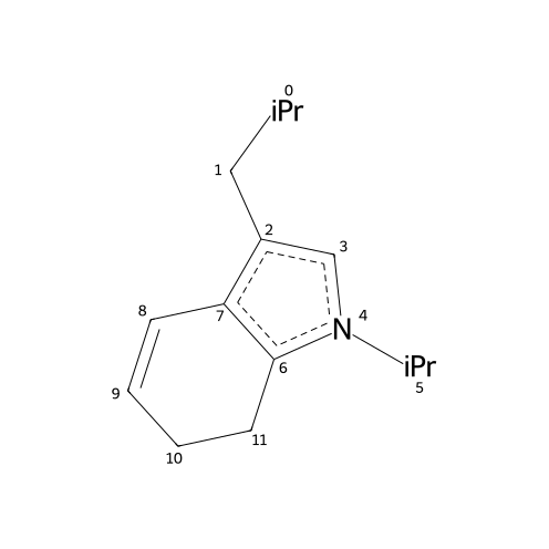 CC(C)Cc1cn(C(C)C)c2c1C=CCC2